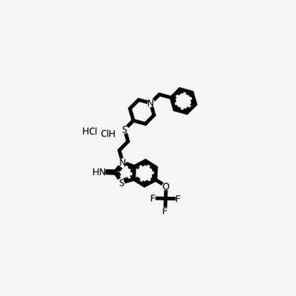 Cl.Cl.N=c1sc2cc(OC(F)(F)F)ccc2n1CCSC1CCN(Cc2ccccc2)CC1